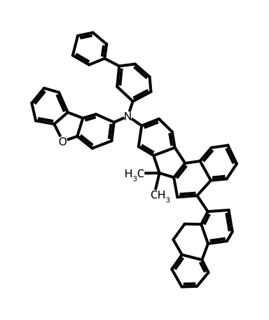 CC1(C)c2cc(N(c3cccc(-c4ccccc4)c3)c3ccc4oc5ccccc5c4c3)ccc2-c2c1cc(-c1cccc3c1CCc1ccccc1-3)c1ccccc21